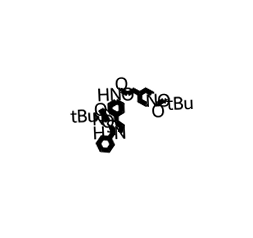 CC(C)(C)NS(=O)(=O)c1cc(NC(=O)OCC2CCN(C(=O)OC(C)(C)C)CC2)ccc1-c1cnc(C2CCCCC2)s1